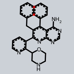 Nc1ncnc2nc(-c3cccnc3C3CNCCO3)c(Cc3ccccc3)c(-c3ccccc3)c12